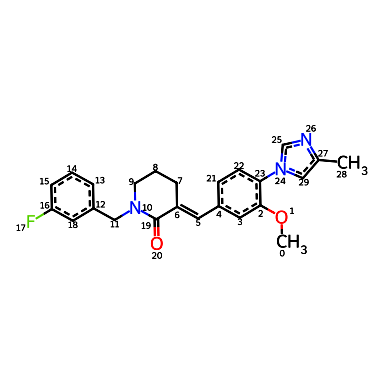 COc1cc(C=C2CCCN(Cc3cccc(F)c3)C2=O)ccc1-n1cnc(C)c1